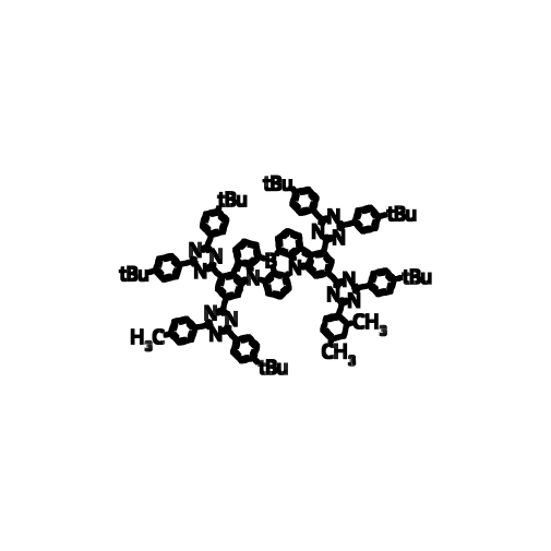 CC1=CC=C(c2nc(-c3ccc(C(C)(C)C)cc3)nc(-c3cc(-c4nc(-c5ccc(C(C)(C)C)cc5)nc(-c5ccc(C(C)(C)C)cc5)n4)c4c5cccc6c5n(c4c3)-c3cccc4c3B6c3cccc5c6c(-c7nc(-c8ccc(C(C)(C)C)cc8)nc(-c8ccc(C(C)(C)C)cc8)n7)cc(-c7nc(-c8ccc(C)cc8)nc(-c8ccc(C(C)(C)C)cc8)n7)cc6n-4c35)n2)C(C)C1